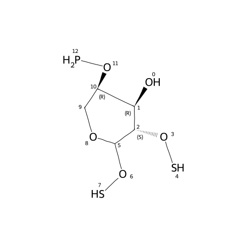 O[C@H]1[C@H](OS)C(OS)OC[C@H]1OP